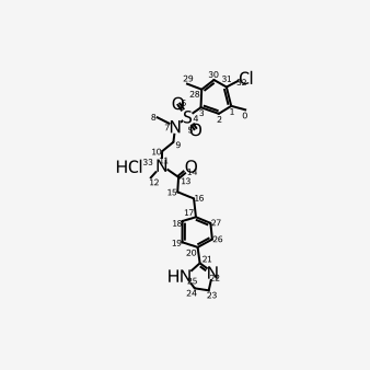 Cc1cc(S(=O)(=O)N(C)CCN(C)C(=O)CCc2ccc(C3=NCCN3)cc2)c(C)cc1Cl.Cl